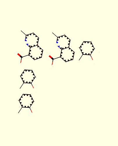 Cc1ccc2cccc(C(=O)O)c2n1.Cc1ccc2cccc(C(=O)O)c2n1.Cc1ccccc1[O-].Cc1ccccc1[O-].Cc1ccccc1[O-].[Al+3]